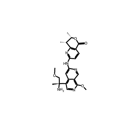 COC[C@@](C)(N)c1cnc(OC)c2cnc(Nc3ccc4c(n3)[C@H](C)[C@H](C)OC4=O)cc12